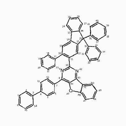 c1ccc(-c2ccc(-c3nc(-c4cc5c(cc4-c4ccccc4)-c4ccccc4C5(c4ccccc4)c4ccccc4)nc4c3oc3ccccc34)cc2)cc1